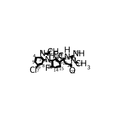 Cc1nc2ccc(Cl)cc2n1-c1c(F)ccc([C@]2(C)CC(=O)N(C)C(=N)N2)c1F